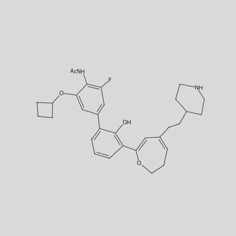 CC(=O)Nc1c(F)cc(-c2cccc(C3=CC(CCC4CCNCC4)=CCCO3)c2O)cc1OC1CCC1